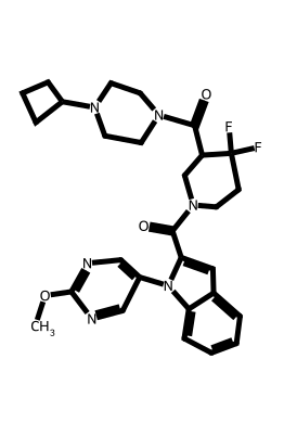 COc1ncc(-n2c(C(=O)N3CCC(F)(F)C(C(=O)N4CCN(C5CCC5)CC4)C3)cc3ccccc32)cn1